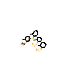 Cc1ccccc1P.Cc1ccccc1P.Cc1ccccc1P.Cc1ccccc1P.[Pd]